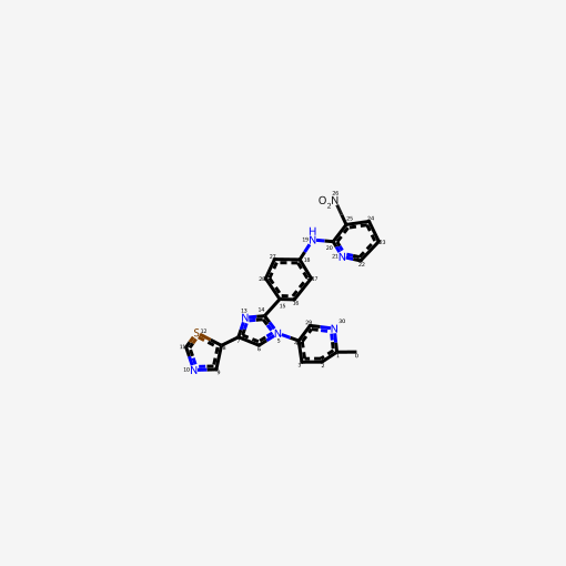 Cc1ccc(-n2cc(-c3cncs3)nc2-c2ccc(Nc3ncccc3[N+](=O)[O-])cc2)cn1